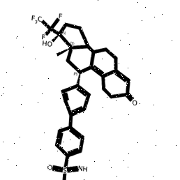 C[C@]12C[C@H](c3ccc(-c4ccc(S(C)(=N)=O)cc4)cc3)C3=C4CCC(=O)C=C4CCC3C1CC[C@@]2(O)C(F)(F)C(F)(F)F